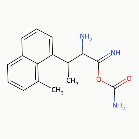 Cc1cccc2cccc(C(C)C(N)C(=N)OC(N)=O)c12